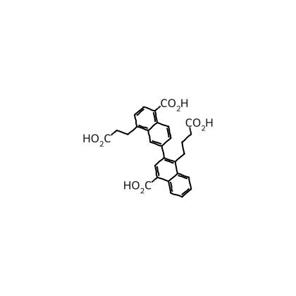 O=C(O)CCCc1c(-c2ccc3c(C(=O)O)ccc(CCC(=O)O)c3c2)cc(C(=O)O)c2ccccc12